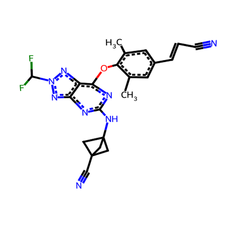 Cc1cc(/C=C/C#N)cc(C)c1Oc1nc(NC23CC(C#N)(C2)C3)nc2nn(C(F)F)nc12